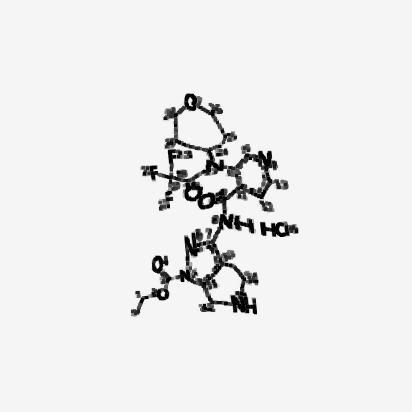 CCOC(=O)n1nc(NC(=O)c2ccncc2N(C(=O)C(F)(F)F)C2CCOCC2)c2c1CNC2.Cl